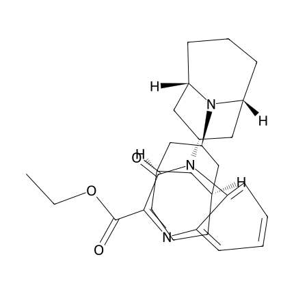 CCOC(=O)c1nc2ccccc2n([C@H]2C[C@H]3CCC[C@@H](C2)N3[C@@H]2C[C@@H]3CCC[C@@H](C3)C2)c1=O